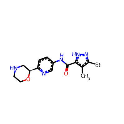 CCc1n[nH]c(C(=O)Nc2ccc([C@@H]3CNCCO3)nc2)c1C